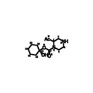 CC(=O)C1CNCCN1C(=O)OC1(O)CCCCC1